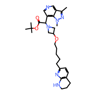 Cc1nn(C)c2c(C(C(=O)OC(C)(C)C)N3CC(OCCCCCc4ccc5c(n4)NCCC5)C3)cncc12